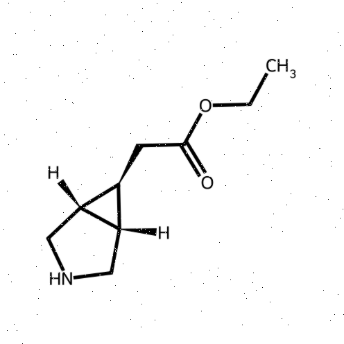 CCOC(=O)C[C@H]1[C@@H]2CNC[C@@H]21